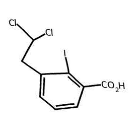 O=C(O)c1cccc(CC(Cl)Cl)c1I